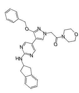 O=C(Cn1cc(-c2cnc(NC3Cc4ccccc4C3)nc2)c(OCc2ccccc2)n1)N1CCOCC1